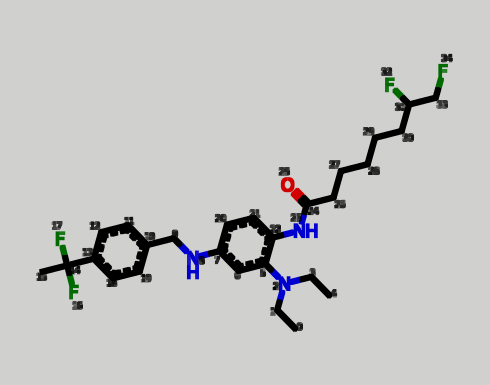 CCN(CC)c1cc(NCc2ccc(C(C)(F)F)cc2)ccc1NC(=O)CCCCCC(F)CF